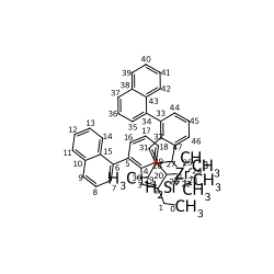 CCC1=Cc2c(-c3cccc4ccccc34)cccc2[CH]1[Zr]([CH3])([CH3])([CH3])([CH3])(=[SiH2])[CH]1C(CC)=Cc2c(-c3cccc4ccccc34)cccc21